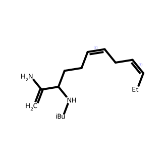 C=C(N)C(CC/C=C\C/C=C\CC)NC(C)CC